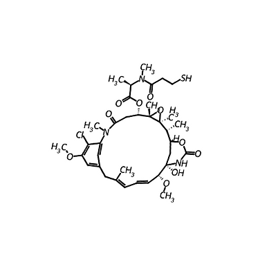 COc1cc2cc(c1Cl)N(C)C(=O)C[C@H](OC(=O)[C@@H](C)N(C)C(=O)CCS)[C@]1(C)O[C@@]1(C)[C@H](C)[C@@H]1C[C@@](O)(NC(=O)O1)[C@H](OC)/C=C/C=C(\C)C2